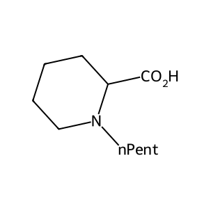 CCCCCN1CCCCC1C(=O)O